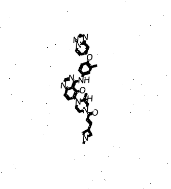 Cc1cc(Nc2ncnc3ccc4c(c23)OC[C@@H]2CN(C(=O)/C=C/C3CN(C)C3)CCN42)ccc1Oc1ccn2ncnc2c1